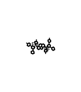 Cc1ccc(-c2cc(-c3ccccc3)cc(N(c3ccc(C)cc3F)c3ccc4ccc5c(N(c6cc(-c7ccccc7)cc(-c7ccc(C)cc7)c6)c6ccc(C)cc6F)ccc6ccc3c4c65)c2)cc1